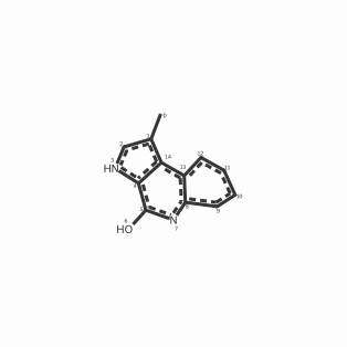 Cc1c[nH]c2c(O)nc3ccccc3c12